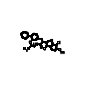 CC(C)Oc1ccc2c(=O)n(C(Cc3ccc(-c4ccccc4)cc3)C(=O)NCC(N)=O)cnc2c1Cl